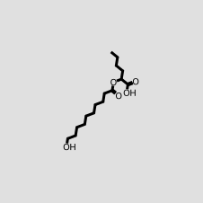 CCCCC(OC(=O)CCCCCCCCCO)C(=O)O